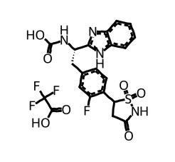 O=C(O)C(F)(F)F.O=C(O)N[C@@H](Cc1ccc(C2CC(=O)NS2(=O)=O)c(F)c1)c1nc2ccccc2[nH]1